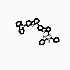 c1ccc(C2N=C(c3cccc4c3oc3ccc(-c5cccc6c5oc5cc(-n7c8ccccc8c8ccccc87)ccc56)cc34)NC(c3ccccc3)N2)cc1